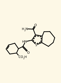 NC(=O)c1c(NC(=O)C2CC=CCC2C(=O)O)sc2c1CCCCC2